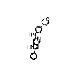 c1ccc(-c2cc3cnc(Nc4ccc(N5CCOCC5)cc4)cc3[nH]2)cc1